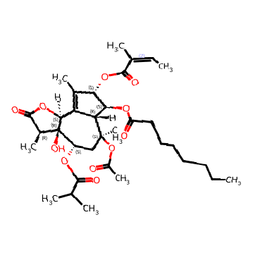 C/C=C(/C)C(=O)O[C@H]1C(C)=C2[C@H]([C@@H]1OC(=O)CCCCCCC)[C@@](C)(OC(C)=O)C[C@H](OC(=O)C(C)C)[C@]1(O)[C@@H](C)C(=O)O[C@@H]21